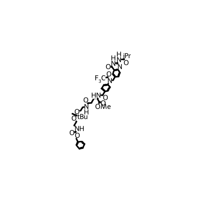 COC(=O)[C@H](CCC(=O)NCCOC(C)(OCCNC(=O)OCc1ccccc1)C(C)(C)C)NC(=O)c1ccc(N(Cc2ccc3nc(NC(=O)C(C)C)[nH]c(=O)c3c2)C(=O)C(F)(F)F)cc1